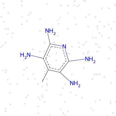 Cc1c(N)c(N)nc(N)c1N